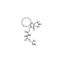 CCCCC(CC)COC(=O)NNC(=O)CCN1C(=O)C2(CC(C)(C)NC(C)(C)C2)OC12CCCCCCCCCCC2